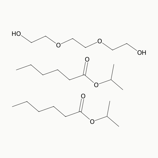 CCCCCC(=O)OC(C)C.CCCCCC(=O)OC(C)C.OCCOCCOCCO